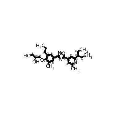 CCCc1cc(-c2noc(-c3cc(C)nc(C(CC)CC)c3)n2)cc(C)c1OC[C@@H](O)CO